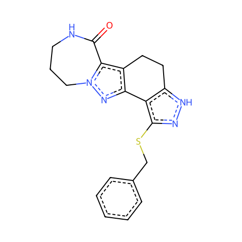 O=C1NCCCn2nc3c(c21)CCc1[nH]nc(SCc2ccccc2)c1-3